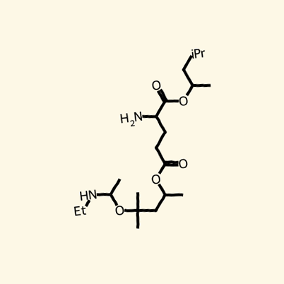 CCNC(C)OC(C)(C)CC(C)OC(=O)CCC(N)C(=O)OC(C)CC(C)C